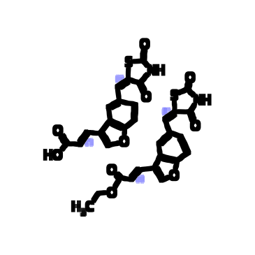 CCOC(=O)/C=C/c1coc2ccc(/C=C3/SC(=O)NC3=O)cc12.O=C(O)/C=C/c1coc2ccc(/C=C3/SC(=O)NC3=O)cc12